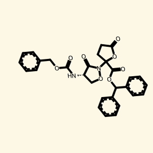 O=C1CCC(C(=O)OC(c2ccccc2)c2ccccc2)(N2OC[C@H](NC(=O)OCc3ccccc3)C2=O)O1